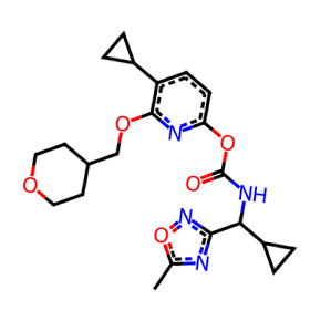 Cc1nc(C(NC(=O)Oc2ccc(C3CC3)c(OCC3CCOCC3)n2)C2CC2)no1